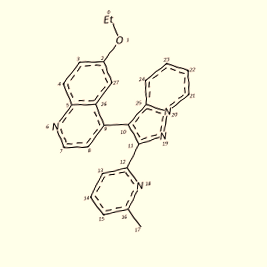 CCOc1ccc2nccc(-c3c(-c4cccc(C)n4)nn4ccccc34)c2c1